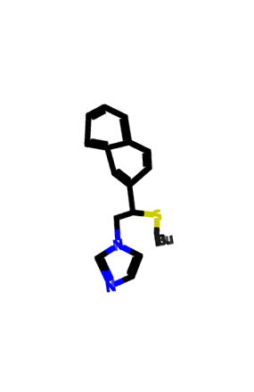 CCC(C)SC(Cn1ccnc1)c1ccc2ccccc2c1